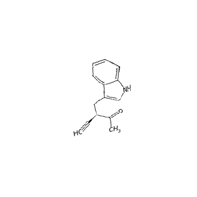 C#C[C@@H](Cc1c[nH]c2ccccc12)C(C)=O